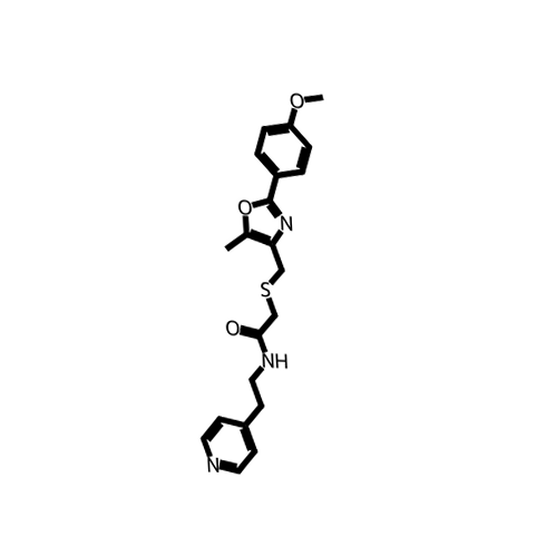 COc1ccc(-c2nc(CSCC(=O)NCCc3ccncc3)c(C)o2)cc1